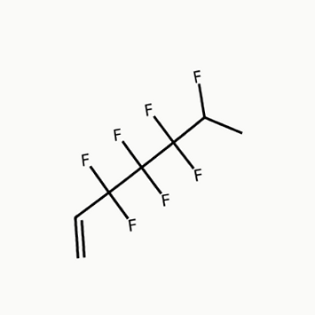 C=CC(F)(F)C(F)(F)C(F)(F)C(C)F